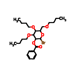 CCCCOCC1OC(Br)C(OC(=O)c2ccccc2)C(OCCCC)C1OCCCC